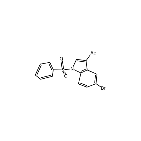 CC(=O)c1cn(S(=O)(=O)c2ccccc2)c2ccc(Br)cc12